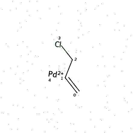 C=CCCl.[Pd+2]